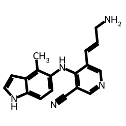 Cc1c(Nc2c(C#N)cncc2/C=C/CN)ccc2[nH]ccc12